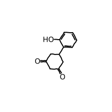 O=C1CC(=O)CC(c2ccccc2O)C1